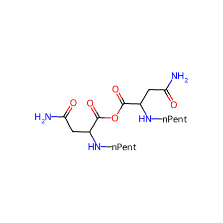 CCCCCNC(CC(N)=O)C(=O)OC(=O)C(CC(N)=O)NCCCCC